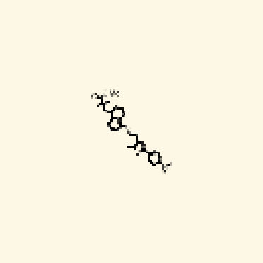 COC(=O)C(C)(C)CC1=CCCc2c(OCCc3nc(-c4ccc(N(C)C)nc4)oc3C)cccc21